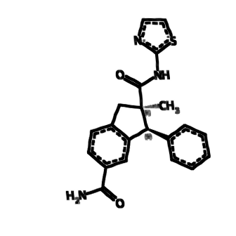 C[C@@]1(C(=O)Nc2nccs2)Cc2ccc(C(N)=O)cc2[C@@H]1c1ccccc1